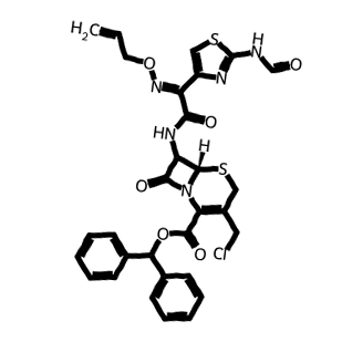 C=CCON=C(C(=O)NC1C(=O)N2C(C(=O)OC(c3ccccc3)c3ccccc3)=C(CCl)CS[C@@H]12)c1csc(NC=O)n1